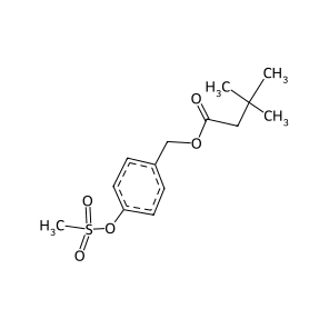 CC(C)(C)CC(=O)OCc1ccc(OS(C)(=O)=O)cc1